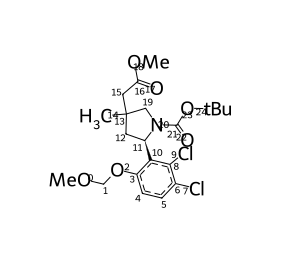 COCOc1ccc(Cl)c(Cl)c1[C@H]1CC(C)(CC(=O)OC)CN1C(=O)OC(C)(C)C